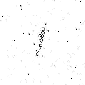 CCCCCc1ccc(-c2ccc(C(=O)Oc3ccc(C)cc3)cc2)cc1